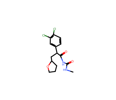 CNC(=O)NC(=O)C(CC1CCCO1)c1ccc(Cl)c(Cl)c1